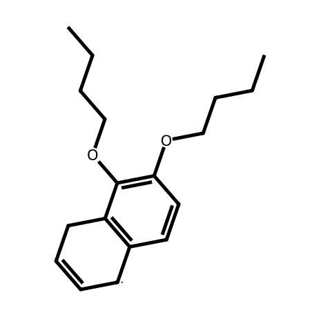 CCCCOc1ccc2c(c1OCCCC)CC=C[CH]2